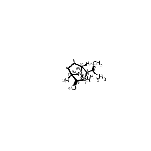 C=C(C)[C@H]1NC(=O)[C@@H]2CC[C@H]1N2C(=O)O